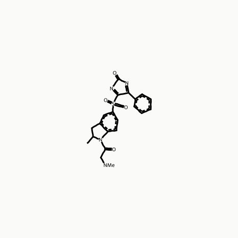 CNCC(=O)N1c2ccc(S(=O)(=O)C3=NC(=O)N=C3c3ccccc3)cc2CC1C